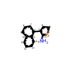 Nc1sccc1-c1cccc2ccccc12